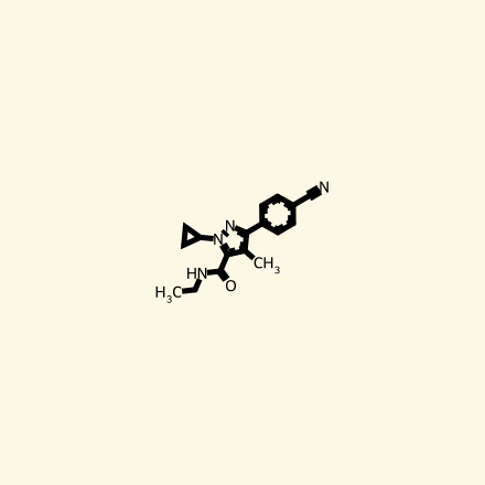 CCNC(=O)c1c(C)c(-c2ccc(C#N)cc2)nn1C1CC1